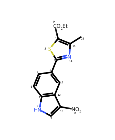 CCOC(=O)c1sc(-c2ccc3[nH]cc([N+](=O)[O-])c3c2)nc1C